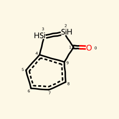 O=C1[SiH]=[SiH]c2ccccc21